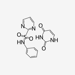 O=S(=O)(Nc1ccccc1)c1ncccn1.O=c1cc[nH]c(=O)[nH]1